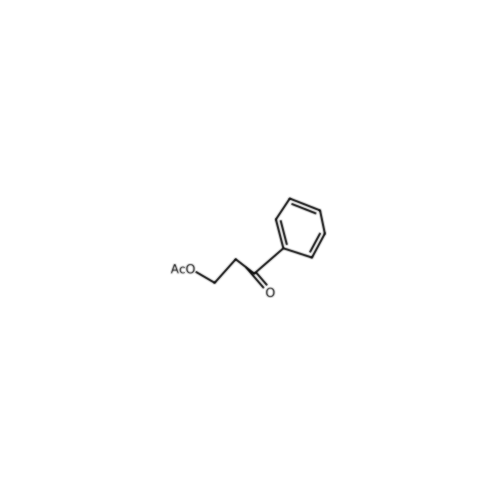 [CH2]C(=O)OCCC(=O)c1ccccc1